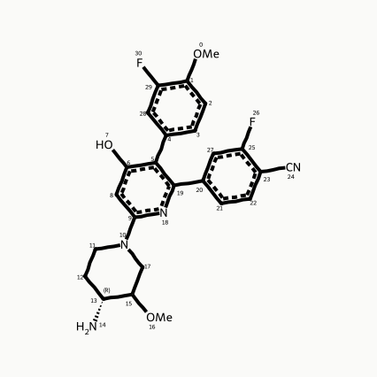 COc1ccc(-c2c(O)cc(N3CC[C@@H](N)C(OC)C3)nc2-c2ccc(C#N)c(F)c2)cc1F